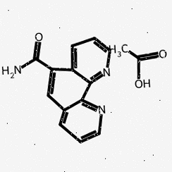 CC(=O)O.NC(=O)c1cc2cccnc2c2ncccc12